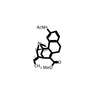 C/C=C1/CN2CC[C@]34C(=C(C(=O)OC)C1C[C@H]23)CCc1ccc(NC(C)=O)cc14